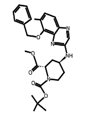 COC(=O)[C@@H]1C[C@@H](Nc2cnc3ccc(C)c(OCc4ccccc4)c3n2)CCN1C(=O)OC(C)(C)C